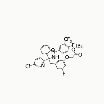 CC(C)(C)OC(=O)COc1cc(F)cc(CC(NC(=O)c2ccc(F)c(C(F)(F)F)c2)(c2ccccc2)c2ccc(Cl)cn2)c1